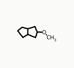 COC1CC2CCCC2C1